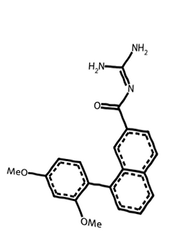 COc1ccc(-c2cccc3ccc(C(=O)N=C(N)N)cc23)c(OC)c1